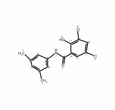 Cc1cc(C)cc(NC(=O)c2cc(Cl)cc(Cl)c2O)c1